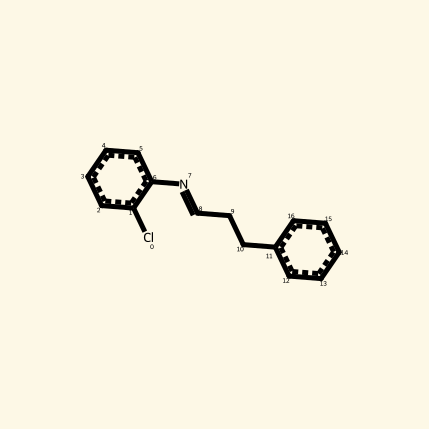 Clc1ccccc1N=CCCc1ccccc1